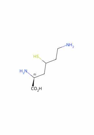 NCCC(S)C[C@H](N)C(=O)O